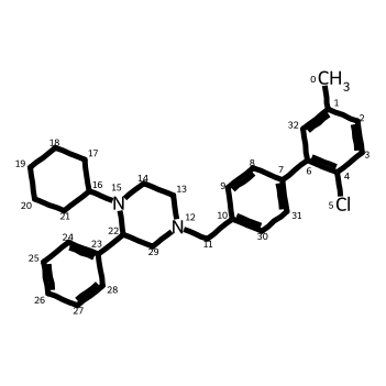 Cc1ccc(Cl)c(-c2ccc(CN3CCN(C4CCCCC4)C(c4ccccc4)C3)cc2)c1